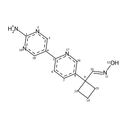 Nc1ncc(-c2ccc(C3(/C=N/O)CCC3)cn2)cn1